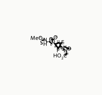 COC(=S)NC[C@H]1CN(c2cc(F)c(N3CC(=O)N(CC(=O)O)C3)c(F)c2)C(=O)O1